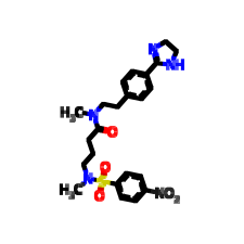 CN(CCc1ccc(C2=NCCN2)cc1)C(=O)CCCN(C)S(=O)(=O)c1ccc([N+](=O)[O-])cc1